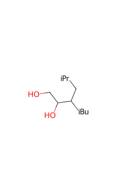 CCC(C)C(CC(C)C)C(O)CO